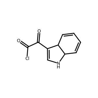 O=C(Cl)C(=O)C1=CNC2C=CC=CC12